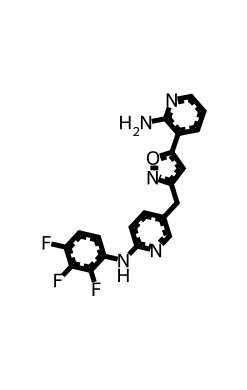 Nc1ncccc1-c1cc(Cc2ccc(Nc3ccc(F)c(F)c3F)nc2)no1